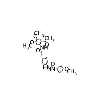 COc1ccc(NC(=O)Nc2ccc(CCC(=O)Nc3cc(OC)c(OC)cc3C(C)=O)cc2)cc1